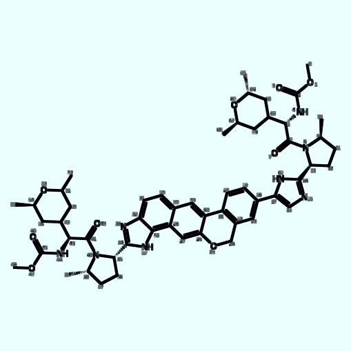 COC(=O)N[C@H](C(=O)N1[C@@H](C)CC[C@H]1c1ncc(-c2ccc3c(c2)COc2cc4c(ccc5nc([C@@H]6CC[C@H](C)N6C(=O)[C@@H](NC(=O)OC)C6CC(C)O[C@H](C)C6)[nH]c54)cc2-3)[nH]1)C1C[C@@H](C)O[C@H](C)C1